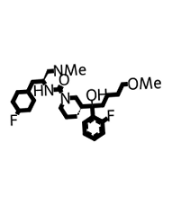 CNC[C@H](CC1CCC(F)CC1)NC(=O)N1CCC[C@@H]([C@@](O)(CCCCOC)c2ccccc2F)C1